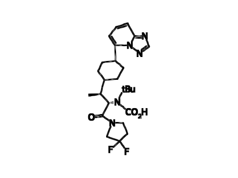 C[C@@H](C1CCC(c2cccc3ncnn23)CC1)[C@@H](C(=O)N1CCC(F)(F)C1)N(C(=O)O)C(C)(C)C